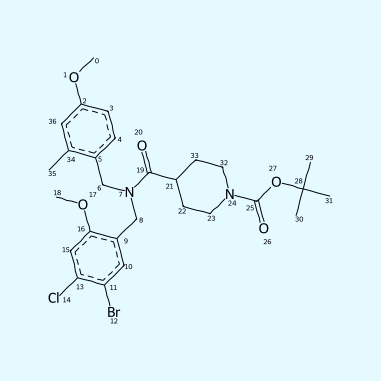 COc1ccc(CN(Cc2cc(Br)c(Cl)cc2OC)C(=O)C2CCN(C(=O)OC(C)(C)C)CC2)c(C)c1